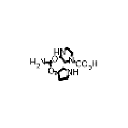 NC(=O)O[C@@H]1CCNC1.O=C(O)N1CCNCC1